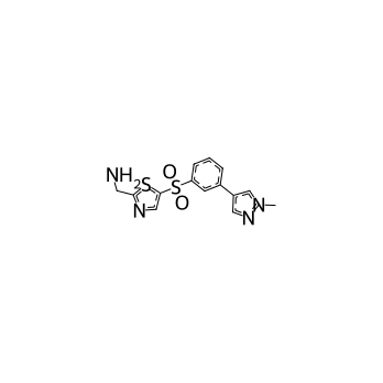 Cn1cc(-c2cccc(S(=O)(=O)c3cnc(CN)s3)c2)cn1